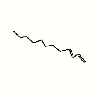 C=C/C=C/CCCCC[CH]CC